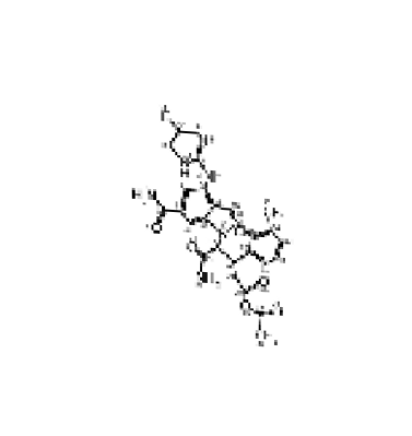 NC(=O)c1cc(NC2=NCC(F)CN2)c2cnn(C(C(N)=O)[C@@H](CC(=O)OC(=O)C(F)(F)F)c3cccc(C(F)(F)F)c3Cl)c2c1